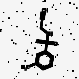 C#CCNS(=O)(=O)c1cccc(C)c1